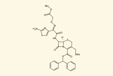 CSCC1=C(C(=O)OC(c2ccccc2)c2ccccc2)N2C(=O)C(NC(=O)/C(=N/OCC(=O)OC(C)(C)C)c3csc(N)n3)[C@H]2SC1